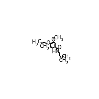 COc1cc(C(=O)NCCN(C)C)ccc1OCCC(C)C